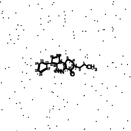 CCCn1ccc2c(nnc3c(-c4ccccc4)cnn32)c1=O